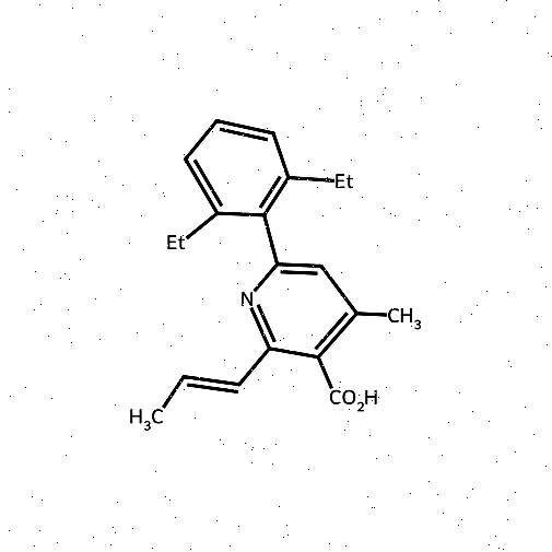 CC=Cc1nc(-c2c(CC)cccc2CC)cc(C)c1C(=O)O